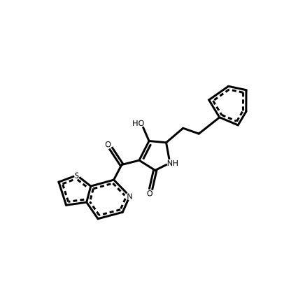 O=C1NC(CCc2ccccc2)C(O)=C1C(=O)c1nccc2ccsc12